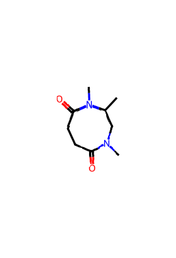 CC1CN(C)C(=O)CCC(=O)N1C